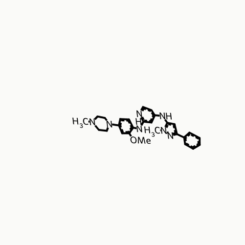 COc1cc(N2CCN(C)CC2)ccc1Nc1cc(Nc2cc(-c3ccccc3)nn2C)ccn1